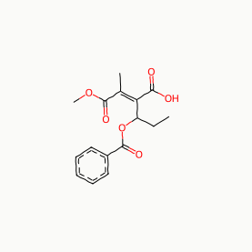 CCC(OC(=O)c1ccccc1)/C(C(=O)O)=C(/C)C(=O)OC